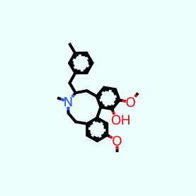 COc1ccc2c(c1)-c1c(ccc(OC)c1O)CC(Cc1cccc(C)c1)N(C)CC2